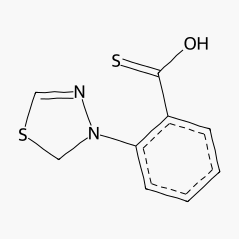 OC(=S)c1ccccc1N1CSC=N1